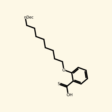 CCCCCCCCCCCCCCCCCCOc1ccccc1C(O)=S